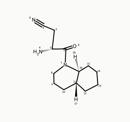 N#CC[C@@H](N)C(=O)N1CCC[C@H]2CCCC[C@@H]21